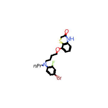 CCCN(CCCCOc1cccc2c1SCC(=O)N2)c1ccc(Br)cc1F